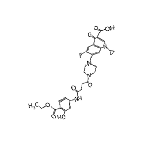 CCOC(=O)c1ccc(NC(=O)CCC(=O)N2CCN(c3cc4c(cc3F)c(=O)c(C(=O)O)cn4C3CC3)CC2)cc1O